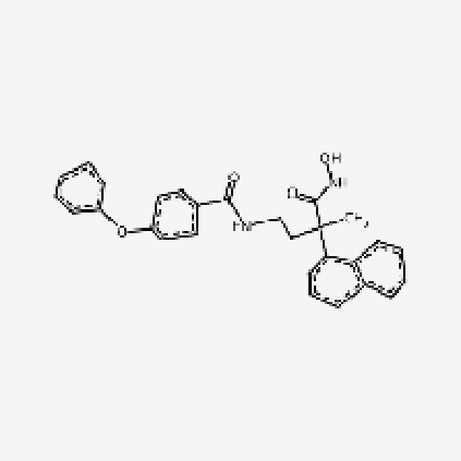 CC(CCNC(=O)c1ccc(Oc2ccccc2)cc1)(C(=O)NO)c1cccc2ccccc12